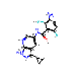 Nc1ccc(F)c(C(=O)Nc2cnc3[nH]nc(C4CC4)c3c2)c1F